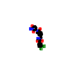 O=C1CCC(N2Cc3cc(CNC(=O)C(=O)c4ccc(Cl)c(Cl)c4)ccc3C2=O)C(=O)N1